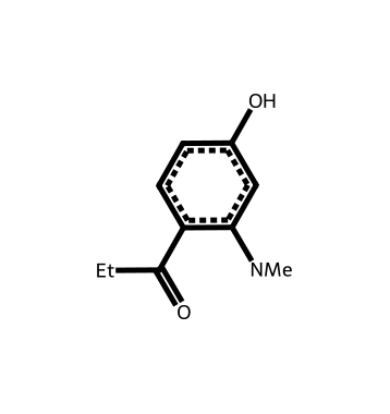 CCC(=O)c1ccc(O)cc1NC